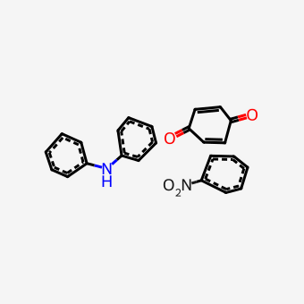 O=C1C=CC(=O)C=C1.O=[N+]([O-])c1ccccc1.c1ccc(Nc2ccccc2)cc1